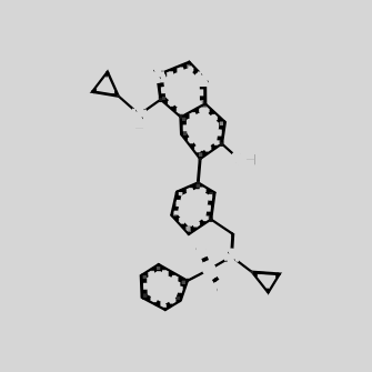 Cc1cc2ncnc(NC3CC3)c2cc1-c1cccc(CN(C2CC2)S(=O)(=O)c2ccccc2)c1